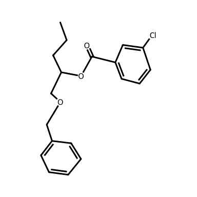 CCCC(COCc1ccccc1)OC(=O)c1cccc(Cl)c1